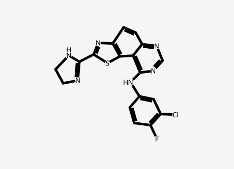 Fc1ccc(Nc2ncnc3ccc4nc(C5=NCCN5)sc4c23)cc1Cl